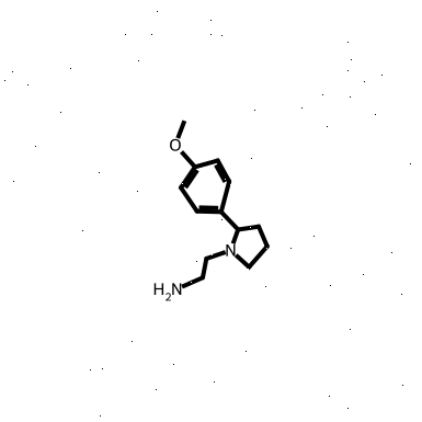 COc1ccc(C2CCCN2CCN)cc1